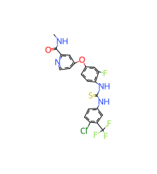 CNC(=O)c1cc(Oc2ccc(NC(=S)Nc3ccc(Cl)c(C(F)(F)F)c3)c(F)c2)ccn1